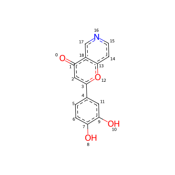 O=c1cc(-c2ccc(O)c(O)c2)oc2ccncc12